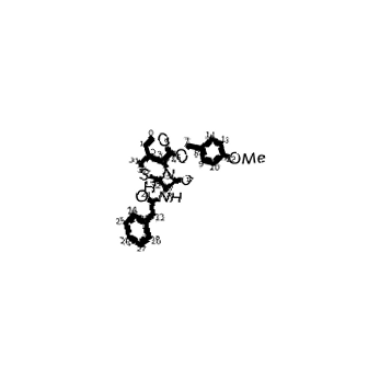 C=CC1=C(C(=O)OCc2ccc(OC)cc2)N2C(=O)C(NC(=O)Cc3ccccc3)[C@@H]2SC1